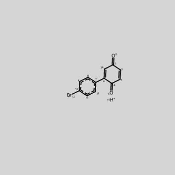 O=C1C=CC(=O)C(c2ccc(Br)cc2)=C1.[H+]